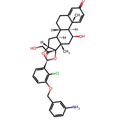 C[C@]12C=CC(=O)C=C1CC[C@@H]1[C@@H]2[C@@H](O)C[C@@]2(C)[C@H]1C[C@H]1O[C@H](c3cccc(OCc4cccc(N)c4)c3Cl)O[C@]12C(=O)CO